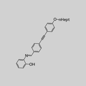 CCCCCCCOc1ccc(C#Cc2ccc(C=Nc3ccccc3O)cc2)cc1